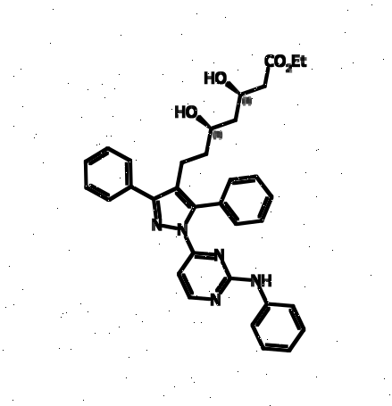 CCOC(=O)C[C@H](O)C[C@H](O)CCc1c(-c2ccccc2)nn(-c2ccnc(Nc3ccccc3)n2)c1-c1ccccc1